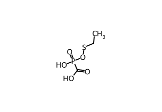 CCSOP(=O)(O)C(=O)O